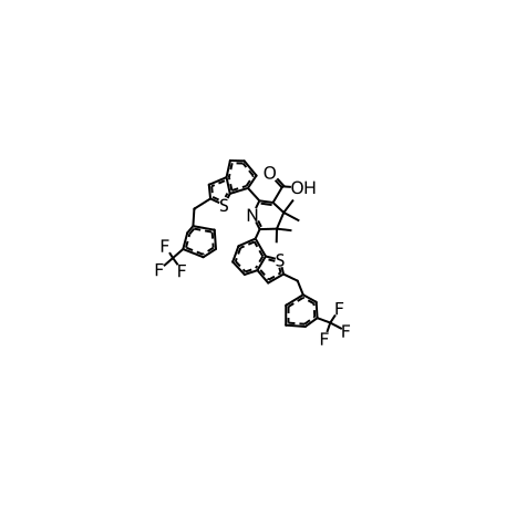 CC1(C)C(c2cccc3cc(Cc4cccc(C(F)(F)F)c4)sc23)=NC(c2cccc3cc(Cc4cccc(C(F)(F)F)c4)sc23)=C(C(=O)O)C1(C)C